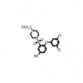 CCOC(=O)N1CCN(S(=O)(=O)c2cc(C#N)ccc2Oc2cc(Cl)cc(Cl)c2)CC1